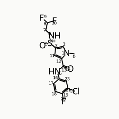 Cn1cc([S+]([O-])NCC(F)F)cc1C(=O)Nc1ccc(F)c(Cl)c1